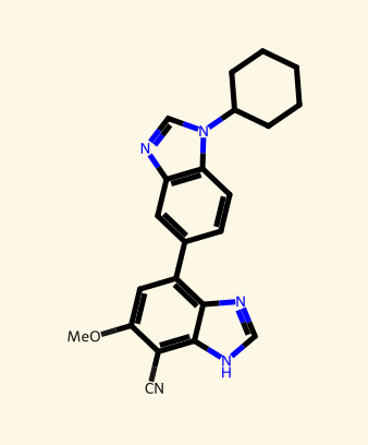 COc1cc(-c2ccc3c(c2)ncn3C2CCCCC2)c2nc[nH]c2c1C#N